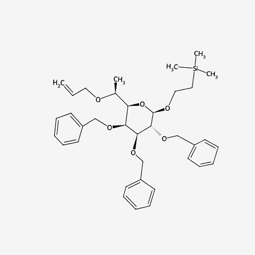 C=CCO[C@@H](C)[C@H]1O[C@@H](OCC[Si](C)(C)C)[C@H](OCc2ccccc2)[C@@H](OCc2ccccc2)[C@H]1OCc1ccccc1